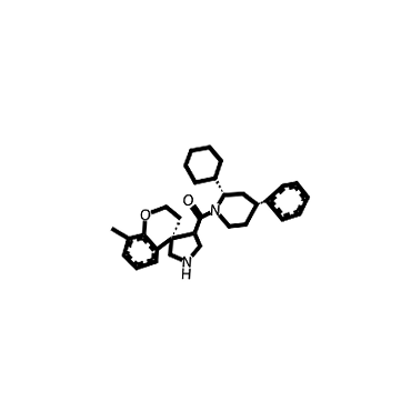 Cc1cccc2c1OCC[C@]21CNCC1C(=O)N1CC[C@@H](c2ccccc2)C[C@H]1C1CCCCC1